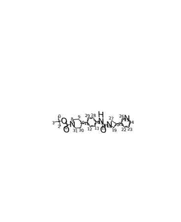 CC(C)(C)OC(=O)N1CCC(c2ccc(NC(=O)N3CC(c4cccnc4)C3)cc2)CC1